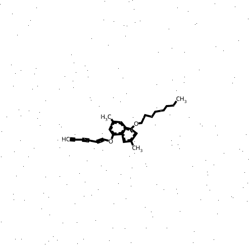 C#CC#CC#COc1cc(C)cc2c(OCCCCCCCC)cc(C)cc12